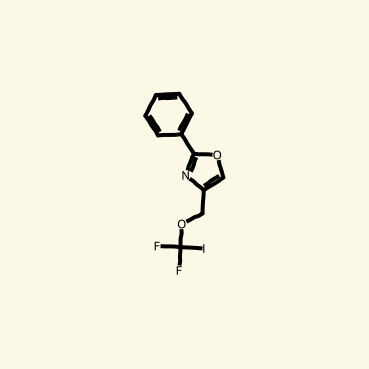 FC(F)(I)OCc1coc(-c2ccccc2)n1